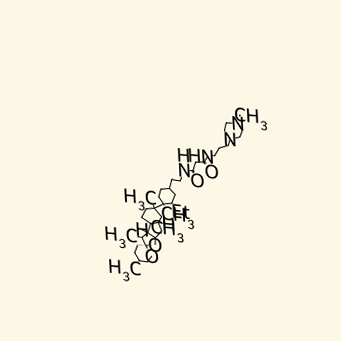 CC[C@@H]1CC(CCNC(=O)CC(=O)NCCCN2CCN(C)CC2)CC[C@]1(C)[C@@]1(C)CC[C@@]2(C)[C@@H](CC3O[C@]4(CC[C@H](C)CO4)[C@@H](C)[C@@H]32)C1